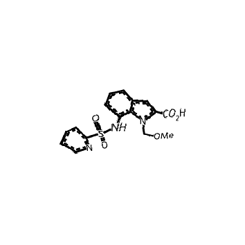 COCn1c(C(=O)O)cc2cccc(NS(=O)(=O)c3ccccn3)c21